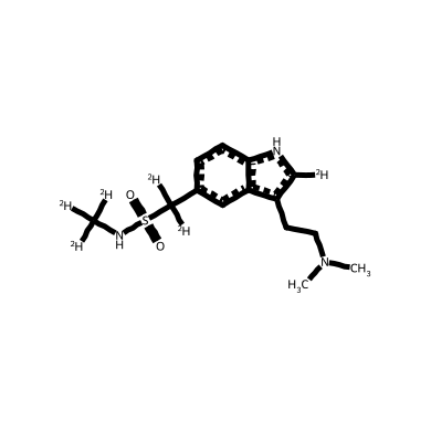 [2H]c1[nH]c2ccc(C([2H])([2H])S(=O)(=O)NC([2H])([2H])[2H])cc2c1CCN(C)C